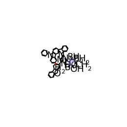 B/C(C(=C)O)=C(B)/C(=C(/B)CO)c1nc(C2=CCC3C(=C2)Oc2ccccc23)nc(-n2c3ccccc3c3ccc4c(c5ccccc5n4-c4ccccc4)c32)n1